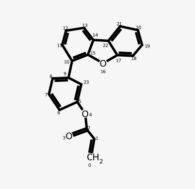 C=CC(=O)Oc1cccc(-c2cccc3c2oc2ccccc23)c1